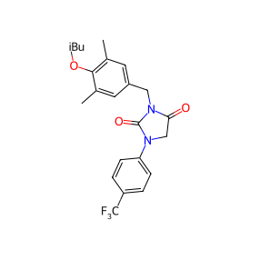 CCC(C)Oc1c(C)cc(CN2C(=O)CN(c3ccc(C(F)(F)F)cc3)C2=O)cc1C